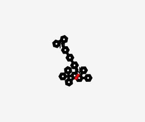 c1ccc(-c2ccccc2-c2ccccc2N(c2ccc(-c3ccc(-c4ccc(-n5c6ccccc6c6ccccc65)cc4)cc3)cc2)c2ccc3c(c2)C(c2ccccc2)(c2ccccc2)c2ccccc2-3)cc1